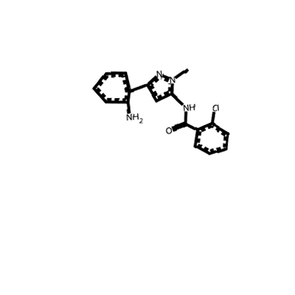 Cn1nc(-c2ccccc2N)cc1NC(=O)c1ccccc1Cl